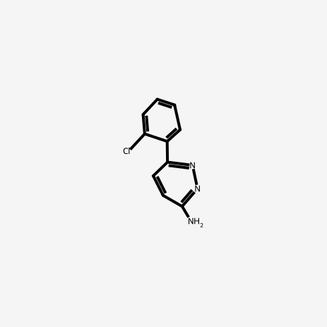 Nc1ccc(-c2ccccc2Cl)nn1